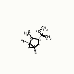 C=C(OC)[C@@H]1C[C@H]2C[C@H]2N1C